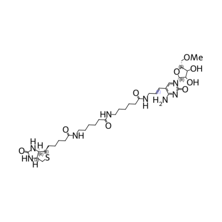 COC[C@H]1O[C@@H](n2cc(/C=C/CNC(=O)CCCCCNC(=O)CCCCCNC(=O)CCCC[C@H]3SC[C@H]4NC(=O)N[C@H]43)c(N)nc2=O)C(O)C1O